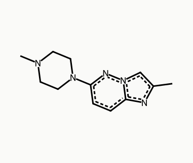 Cc1cn2nc(N3CCN(C)CC3)ccc2n1